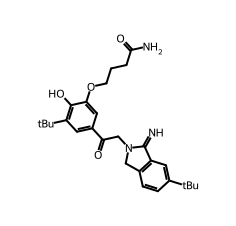 CC(C)(C)c1ccc2c(c1)C(=N)N(CC(=O)c1cc(OCCCC(N)=O)c(O)c(C(C)(C)C)c1)C2